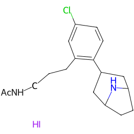 CC(=O)NCCCc1cc(Cl)ccc1C1CC2CCC(C1)N2.I